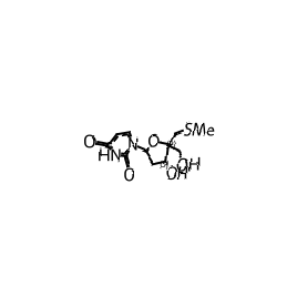 CSC[C@]1(CO)OC(n2ccc(=O)[nH]c2=O)C[C@@H]1O